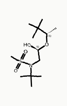 C[C@H](O[C@H](O)CN(C(C)(C)C)S(C)(=O)=O)C(C)(C)C